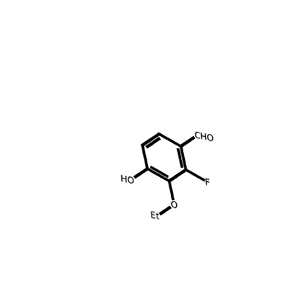 CCOc1c(O)ccc(C=O)c1F